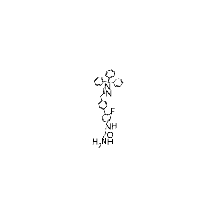 NCC(O)CNc1ccc(-c2ccc(Cc3cn(C(c4ccccc4)(c4ccccc4)C4C=CC=CC4)cn3)cc2)c(F)c1